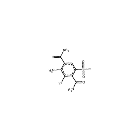 CCc1c(N)c(C(N)=O)cc(S(C)(=O)=O)c1C(N)=O